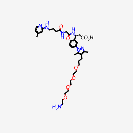 Cc1ccnc(NCCCC(=O)NCC(=O)N[C@@H](CC(=O)O)c2cccc(-n3nc(C)c(CCCOCCOCCOCCOCCN)c3C)c2)c1